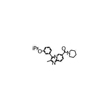 Cc1nc2ccc(C(=O)N3CCCCC3)cn2c1-c1cccc(OC(C)C)c1